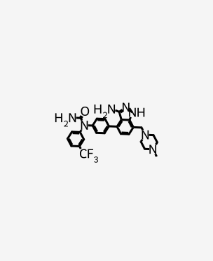 CN1CCN(Cc2ccc(-c3ccc(N(C(N)=O)c4cccc(C(F)(F)F)c4)cc3)c3c(N)n[nH]c23)CC1